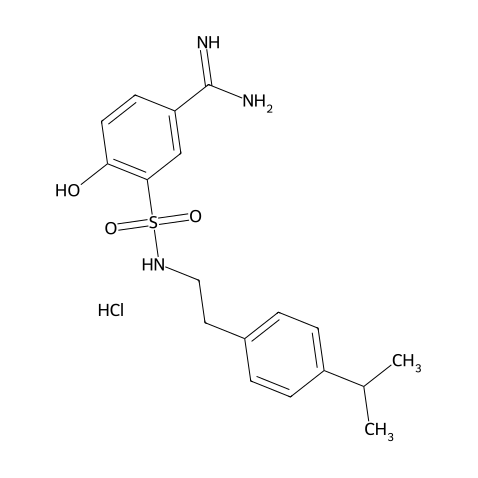 CC(C)c1ccc(CCNS(=O)(=O)c2cc(C(=N)N)ccc2O)cc1.Cl